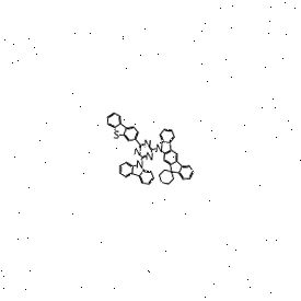 c1ccc2c(c1)-c1cc3c4ccccc4n(-c4nc(-c5ccc6c(c5)sc5ccccc56)nc(-n5c6ccccc6c6ccccc65)n4)c3cc1C21CCCCC1